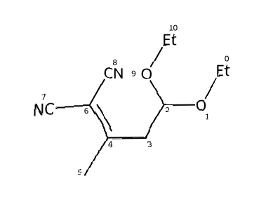 CCOC(CC(C)=C(C#N)C#N)OCC